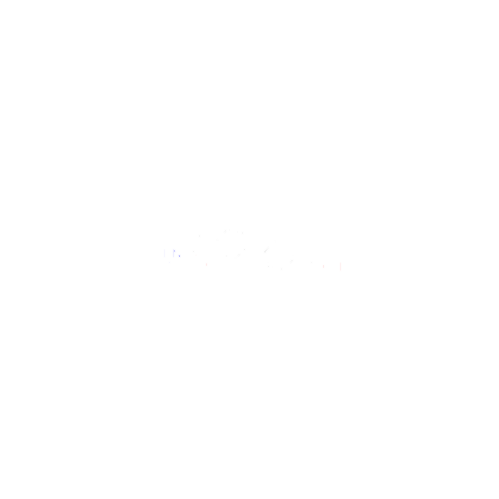 CC(C)(O)c1ccc(-c2ccc(C3(C(N)=O)CC3)cc2)cc1